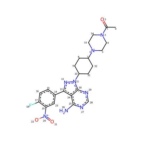 CC(=O)N1CCN(C2CCC(n3nc(-c4ccc(F)c([N+](=O)[O-])c4)c4c(N)ncnc43)CC2)CC1